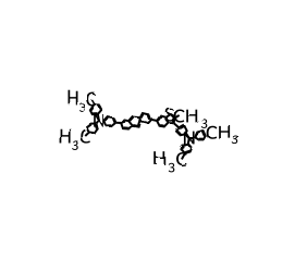 Cc1ccc(N(c2ccc(C)cc2)c2ccc(-c3ccc4cc5cc(-c6ccc7c(-c8ccc(N(c9ccc(C)cc9)c9ccc(C)cc9)cc8)c(C)sc7c6)ccc5cc4c3)cc2)cc1